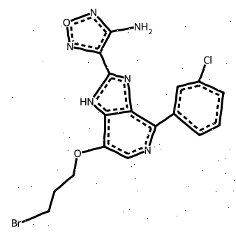 Nc1nonc1-c1nc2c(-c3cccc(Cl)c3)ncc(OCCCBr)c2[nH]1